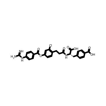 N=C(N)Nc1ccc(C(=O)Oc2ccc(CCC(=O)N[C@@H](Cc3ccc(C(=O)O)cc3)C(=O)O)c(Cl)c2)cc1